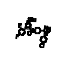 CC(C)(C)N1C[C@@H](C(=O)N2CCC(c3nncn3-c3ccc(Cl)cc3)CC2)[C@H](c2ccc(F)cc2F)C1